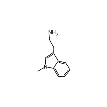 NCCc1cn(I)c2ccccc12